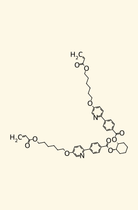 C=CC(=O)OCCCCCCOc1ccc(-c2ccc(C(=O)O[C@@H]3CCCC[C@H]3OC(=O)c3ccc(-c4ccc(OCCCCCCOC(=O)C=C)cn4)cc3)cc2)nc1